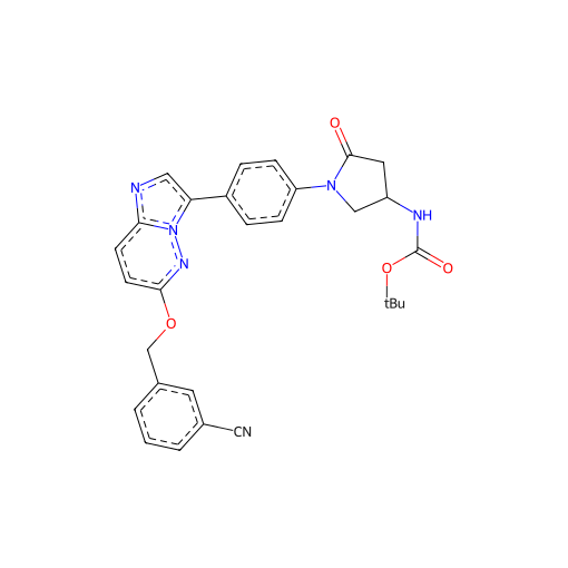 CC(C)(C)OC(=O)NC1CC(=O)N(c2ccc(-c3cnc4ccc(OCc5cccc(C#N)c5)nn34)cc2)C1